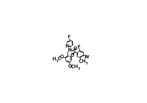 COc1ccc(CN(c2ccc(F)cn2)S(=O)(=O)c2cc(C)c(Br)cc2F)c(OC)c1